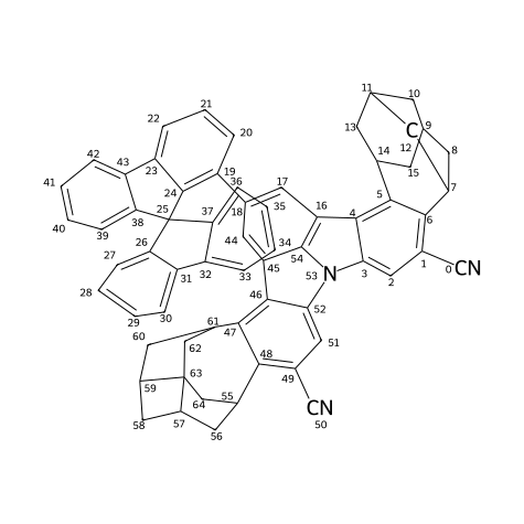 N#Cc1cc2c(c3c1C1CC4CC(C1)CC3C4)c1cc(-c3cccc4c3C3(c5ccccc5-c5ccccc53)c3ccccc3-4)cc3c4c5c(c(C#N)cc4n2c13)C1CC2CC3CC5CC23C1